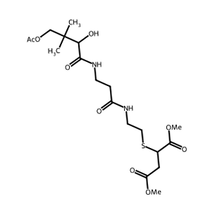 COC(=O)CC(SCCNC(=O)CCNC(=O)C(O)C(C)(C)COC(C)=O)C(=O)OC